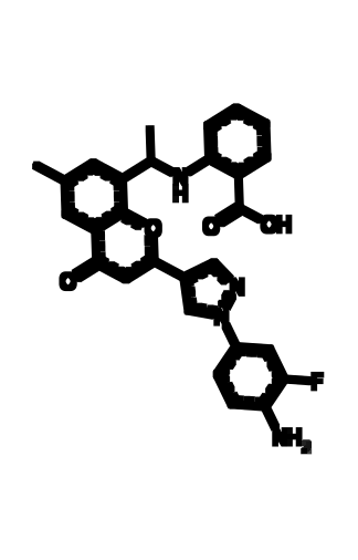 Cc1cc(C(C)Nc2ccccc2C(=O)O)c2oc(-c3cnn(-c4ccc(N)c(F)c4)c3)cc(=O)c2c1